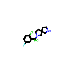 Cl.Fc1ccc(Cl)c(CN2CCC3(CCNC3)C2)c1